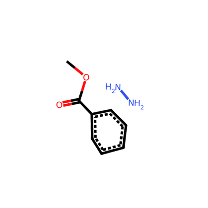 COC(=O)c1ccccc1.NN